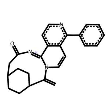 C=C1C2CCC(CC2)CC(=O)/N=C2/c3ccnc(-c4ccccc4)c3C=CN12